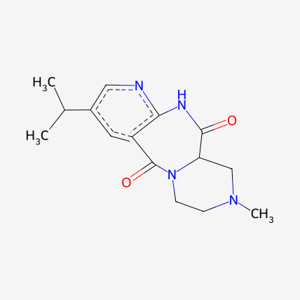 CC(C)c1cnc2c(c1)C(=O)N1CCN(C)CC1C(=O)N2